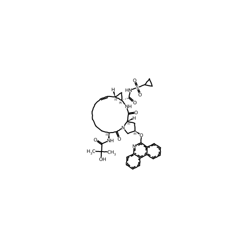 CC(C)(O)C(=O)N[C@H]1CCCCCC=C[C@@H]2C[C@@]2(C(=O)NS(=O)(=O)C2CC2)NC(=O)[C@@H]2C[C@@H](Oc3nc4ccccc4c4ccccc34)CN2C1=O